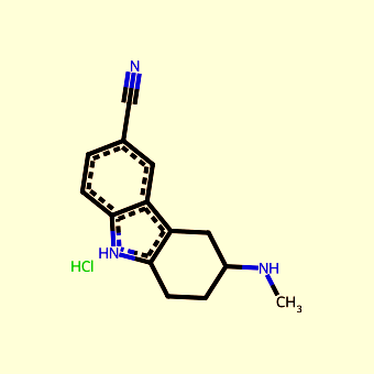 CNC1CCc2[nH]c3ccc(C#N)cc3c2C1.Cl